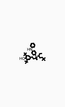 C=C(CCc1cc(C(C)(C)C)c(O)c(C(C)(C)C)c1)N(c1ccc(Nc2ccccc2)cc1)C(CC)CCC(C)(C)C